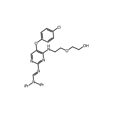 CC(C)N(C=Nc1ncc(Oc2ccc(Cl)cc2)c(NCCOCCO)n1)C(C)C